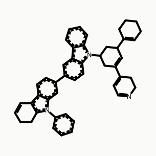 C1=Cc2c(n(-c3ccccc3)c3cc(-c4ccc5c(c4)c4ccccc4n5C4CC(C5=CC=NCC5)=CC(C5=CCCCC5)C4)ccc23)CC1